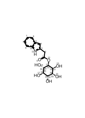 O=C(Cc1cc2ccccc2[nH]1)O[C@@H]1[C@@H](O)[C@H](O)[C@@H](O)[C@H](O)[C@@H]1O